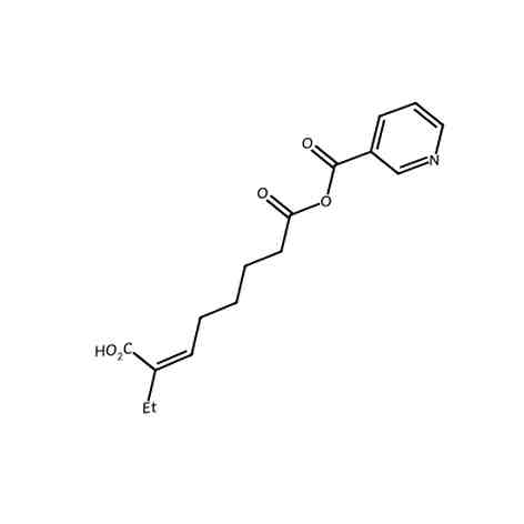 CCC(=CCCCCC(=O)OC(=O)c1cccnc1)C(=O)O